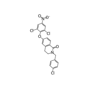 O=C1c2ccc(Oc3c(Cl)cc([N+](=O)[O-])cc3Cl)cc2CCN1Cc1ccc(Cl)cc1